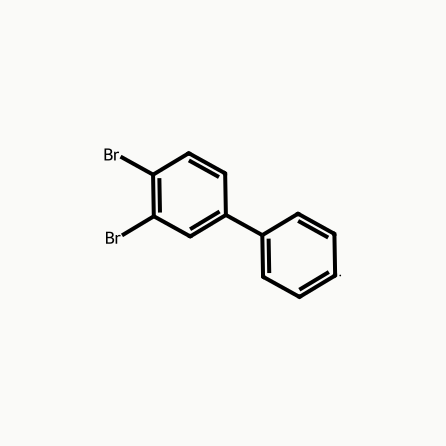 Brc1ccc(-c2cc[c]cc2)cc1Br